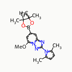 COc1cc(B2OC(C)(C)C(C)(C)O2)cc2nc(-n3c(C)ccc3C)nn12